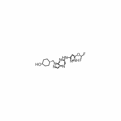 O[C@H]1CC[C@@H](Cn2ncc3ncc(Nc4cc(OC(F)F)[nH]n4)nc32)CC1